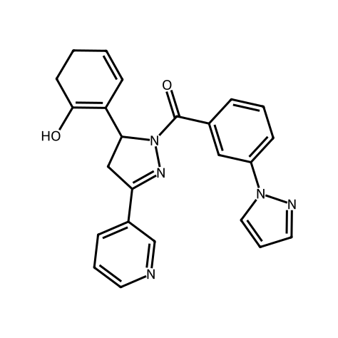 O=C(c1cccc(-n2cccn2)c1)N1N=C(c2cccnc2)CC1C1=C(O)CCC=C1